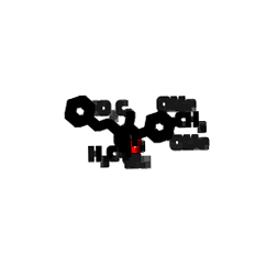 COc1cc(C(O[Si](C)(C)C(C)(C)C)[C@@H](CCCc2ccccc2)CC(=O)O)cc(OC)c1C